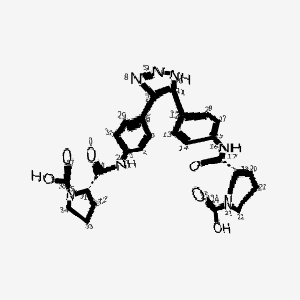 O=C(Nc1ccc(-c2nn[nH]c2-c2ccc(NC(=O)[C@@H]3CCCN3C(=O)O)cc2)cc1)[C@@H]1CCCN1C(=O)O